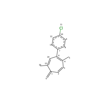 C=C1C=CC(C)=C(c2ccc(Cl)cc2)C=C1C